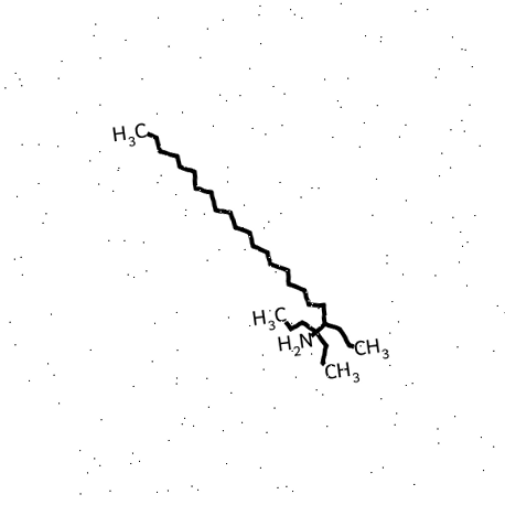 CCCCCCCCCCCCCCCCCCCCC(CCC)C(N)(CCC)CCC